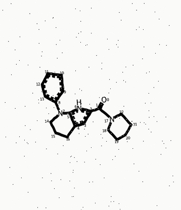 O=C(c1cc2c([nH]1)N(c1ccccc1)CCC2)N1CCCCC1